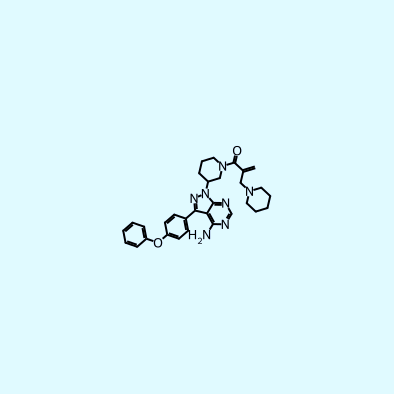 C=C(CN1CCCCC1)C(=O)N1CCCC(n2nc(-c3ccc(Oc4ccccc4)cc3)c3c(N)ncnc32)C1